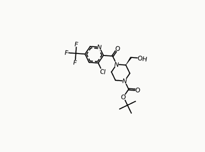 CC(C)(C)OC(=O)N1CCN(C(=O)c2ncc(C(F)(F)F)cc2Cl)[C@@H](CO)C1